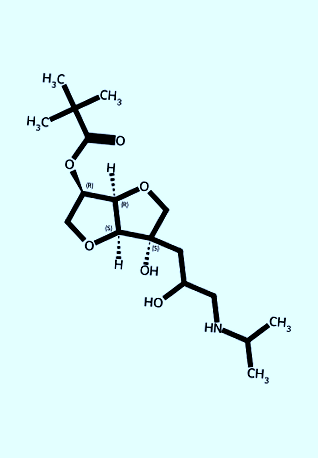 CC(C)NCC(O)C[C@]1(O)CO[C@@H]2[C@H](OC(=O)C(C)(C)C)CO[C@@H]21